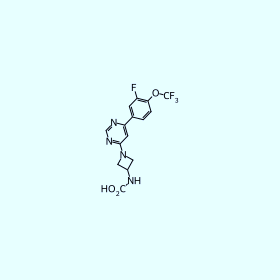 O=C(O)NC1CN(c2cc(-c3ccc(OC(F)(F)F)c(F)c3)ncn2)C1